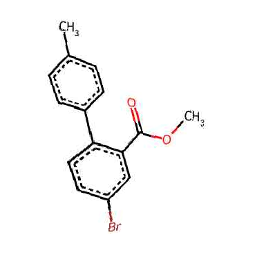 COC(=O)c1cc(Br)ccc1-c1ccc(C)cc1